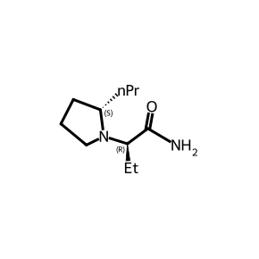 CCC[C@H]1CCCN1[C@H](CC)C(N)=O